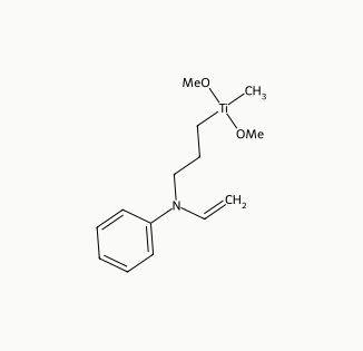 C=CN(CC[CH2][Ti]([CH3])([O]C)[O]C)c1ccccc1